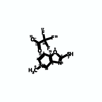 C[n+]1ccc2oc(S)nc2c1.O=C([O-])C(F)(F)F